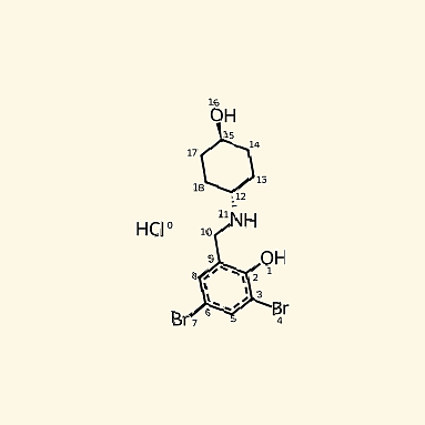 Cl.Oc1c(Br)cc(Br)cc1CN[C@H]1CC[C@H](O)CC1